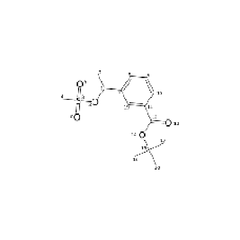 CC(OS(C)(=O)=O)c1cccc(C(=O)OC(C)(C)C)c1